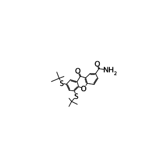 CC(C)(C)Sc1cc(SC(C)(C)C)c2oc3ccc(C(N)=O)cc3c(=O)c2c1